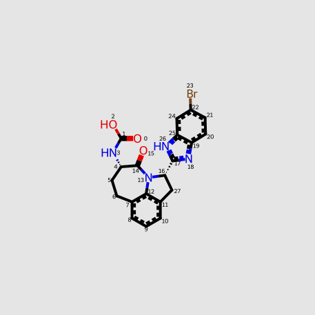 O=C(O)N[C@H]1CCc2cccc3c2N(C1=O)[C@H](c1nc2ccc(Br)cc2[nH]1)C3